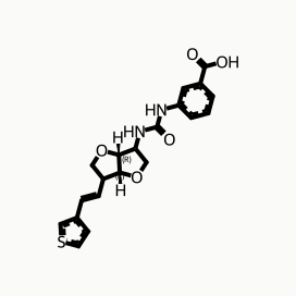 O=C(Nc1cccc(C(=O)O)c1)NC1CO[C@@H]2C(C=Cc3ccsc3)CO[C@H]12